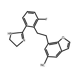 N#Cc1cc(CCc2c(F)cccc2C2=NCCN2)c2occc2c1